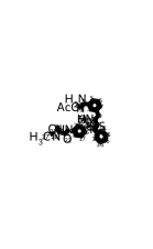 CC(=O)ON=C(N)c1cccc(CC(NS(=O)(=O)c2cccc(NC(=O)c3coc(C)n3)c2)c2nc3ccccc3s2)c1